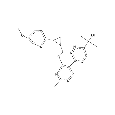 COc1ccc([C@@H]2CC2COc2nc(C)ncc2-c2ccc(C(C)(C)O)nn2)nc1